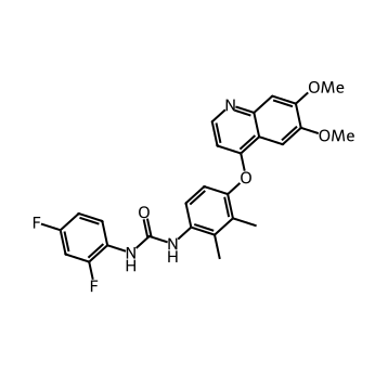 COc1cc2nccc(Oc3ccc(NC(=O)Nc4ccc(F)cc4F)c(C)c3C)c2cc1OC